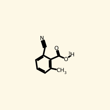 [3H]OC(=O)c1c(C)cccc1C#N